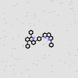 c1ccc(-c2ccc3ccc4ccc(-c5ccc(-c6cccc7c6nc(-c6ccccc6)c6cccc(-c8ccccc8)c67)cc5)nc4c3n2)cc1